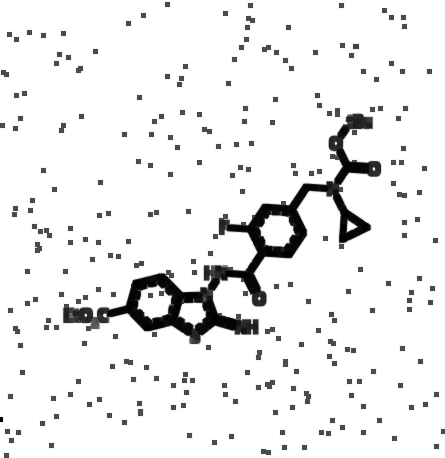 CCOC(=O)c1ccc2c(c1)sc(=N)n2NC(=O)c1ccc(CN(C(=O)OC(C)(C)C)C2CC2)cc1F